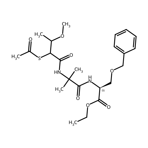 CCOC(=O)[C@H](COCc1ccccc1)NC(=O)C(C)(C)NC(=O)C(SC(C)=O)C(C)OC